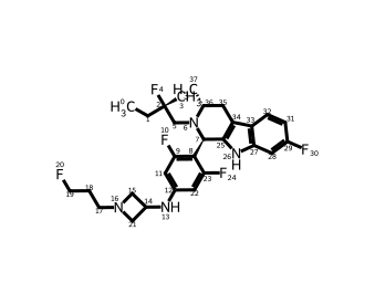 CC[C@](C)(F)CN1[C@H](c2c(F)cc(NC3CN(CCCF)C3)cc2F)c2[nH]c3cc(F)ccc3c2C[C@H]1C